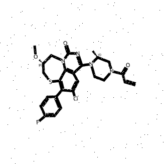 C=CC(=O)N1CCN(c2nc(=O)n3c4c(c(-c5ccc(F)cc5)c(Cl)cc24)SC[C@H](OC)C3)[C@@H](C)C1